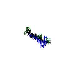 CC[C@H]1CN(c2ncc(CN/C(=N\C#N)NCC(F)(F)F)cc2Cl)CCN1C1CCN(Cc2ccc(Cl)cc2F)CC1